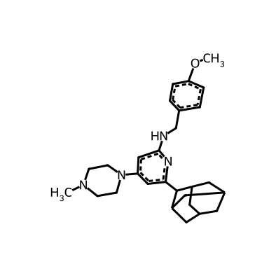 COc1ccc(CNc2cc(N3CCN(C)CC3)cc(C3C4CC5CC(C4)CC3C5)n2)cc1